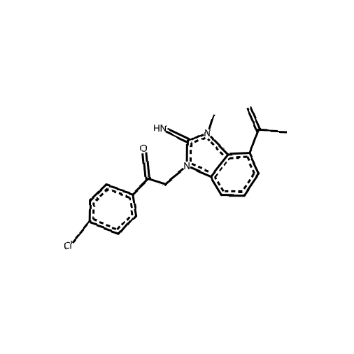 C=C(C)c1cccc2c1n(C)c(=N)n2CC(=O)c1ccc(Cl)cc1